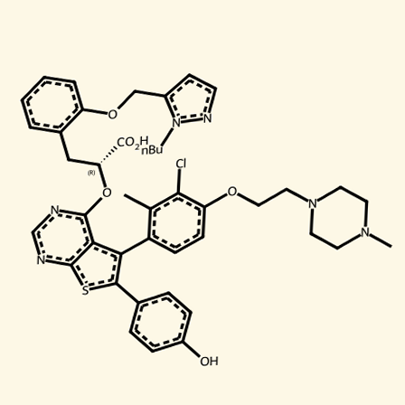 CCCCn1nccc1COc1ccccc1C[C@@H](Oc1ncnc2sc(-c3ccc(O)cc3)c(-c3ccc(OCCN4CCN(C)CC4)c(Cl)c3C)c12)C(=O)O